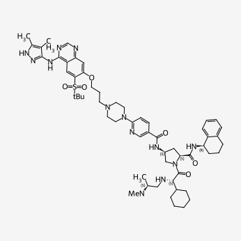 CN[C@@H](C)CN[C@H](C(=O)N1C[C@@H](NC(=O)c2ccc(N3CCN(CCCOc4cc5ncnc(Nc6n[nH]c(C)c6C)c5cc4S(=O)(=O)C(C)(C)C)CC3)nc2)C[C@H]1C(=O)N[C@@H]1CCCc2ccccc21)C1CCCCC1